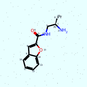 CC(C)[C@@H](N)CNC(=O)c1cc2ccccc2o1